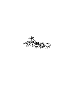 O=C(c1ccco1)N(Cc1ccc(N2CCN(C3CCCCC3)CC2)nc1)c1ccc(F)cc1